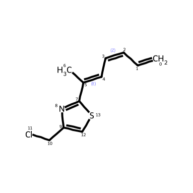 C=C/C=C\C=C(/C)c1nc(CCl)cs1